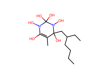 CCCCC(CC)CC1(O)C(C)=C(O)N(O)C(O)(O)N1O